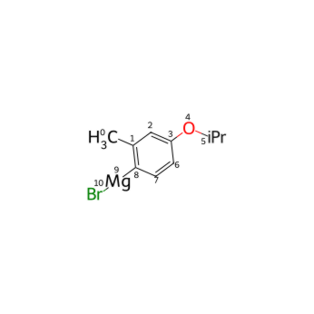 Cc1cc(OC(C)C)cc[c]1[Mg][Br]